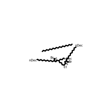 [CH2]CC(CCCC(CCCCCCCCCCCCC)c1cc(CCCCCCCCCCCCCCCCCCCC)c(Br)s1)c1cc(CCCCCCCCCCCCCCCCCCCC)c(Br)s1.[CH2]CCCCCCCCCCCCCCCCCCC